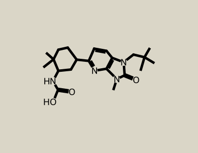 Cn1c(=O)n(CC(C)(C)C)c2ccc(C3CCC(C)(C)C(NC(=O)O)C3)nc21